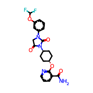 NC(=O)c1cccnc1O[C@H]1CC[C@H](N2C(=O)CN(c3cccc(OC(F)F)c3)C2=O)CC1